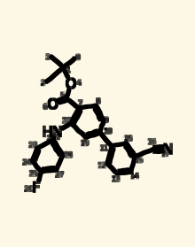 CC(C)(C)OC(=O)c1ccc(-c2cccc(C#N)c2)cc1Nc1ccc(F)cc1